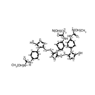 CN(O)C(=O)Nc1ccc(-n2c(S)nnc2SSc2nnc(SSc3nnc(S)n3-c3ccc(NC(=O)N(C)O)cc3)n2-c2ccc(NC(=O)N(C)O)cc2)cc1